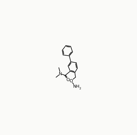 CN(C)C(=O)c1cc(-c2ccccc2)ccc1CON